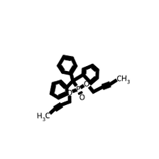 CC#CCOP(=O)(OCC#CC)C(c1ccccc1)(c1ccccc1)c1ccccc1